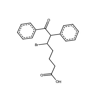 O=C(O)CCCC(Br)C(C(=O)c1ccccc1)c1ccccc1